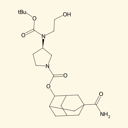 CC(C)(C)OC(=O)N(CCO)[C@@H]1CCN(C(=O)OC2C3CC4CC2CC(C(N)=O)(C4)C3)C1